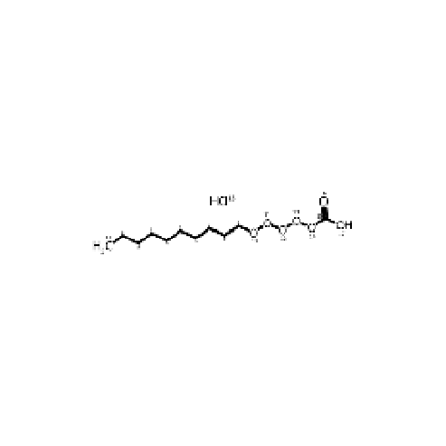 CCCCCCCCCCOOOOOC(=O)O.Cl